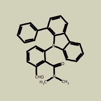 CN(C)C(=O)c1c(C=O)cccc1-n1c2ccccc2c2cccc(-c3ccccc3)c21